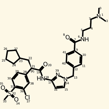 CN(C)CCCNC(=O)c1ccc(Cn2ccc(NC(=O)[C@H](CC3CCCC3)c3ccc(S(C)(=O)=O)c(Cl)c3)n2)cc1